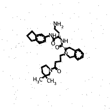 CC1(C)CCCN(C(=O)CCCN2Cc3ccccc3C[C@H]2C(=O)N[C@@H](CCN)C(=O)Nc2ccc3c(c2)CCC3)C1